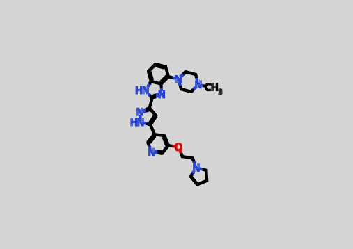 CN1CCN(c2cccc3[nH]c(-c4cc(-c5cncc(OCCN6CCCC6)c5)[nH]n4)nc23)CC1